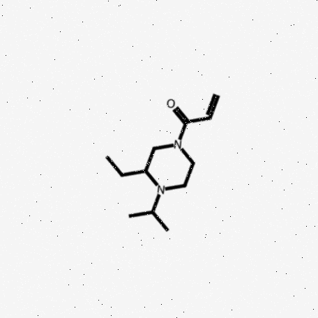 C=CC(=O)N1CCN(C(C)C)C(CC)C1